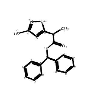 CC(C(=O)SC(c1ccccc1)c1ccccc1)c1cc(O)no1